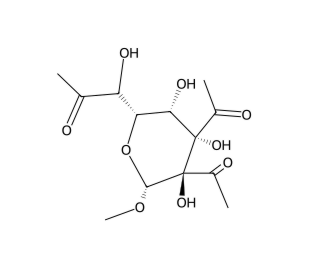 CO[C@@H]1O[C@H](C(O)C(C)=O)[C@H](O)[C@@](O)(C(C)=O)[C@]1(O)C(C)=O